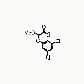 COC(Oc1cc(Cl)cc(Cl)c1)C(=O)Cl